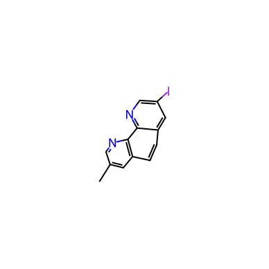 Cc1cnc2c(ccc3cc(I)cnc32)c1